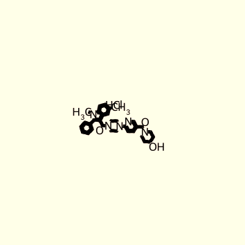 Cc1ccc2c(c1)c(C(=O)N1CCN(c3ccc(C(=O)N4CCC(O)CC4)cn3)CC1)c(-c1ccccc1)n2C.Cl